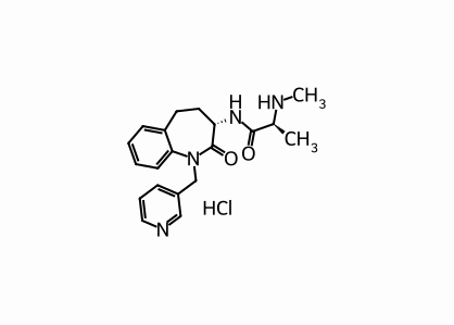 CN[C@@H](C)C(=O)N[C@H]1CCc2ccccc2N(Cc2cccnc2)C1=O.Cl